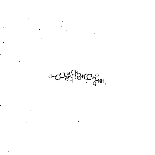 NC(=O)C(=O)N1CC2CC(CN(C(=O)CN3CCC[C@H](NS(=O)(=O)c4ccc5cc(Cl)ccc5c4)C3=O)C2)C1